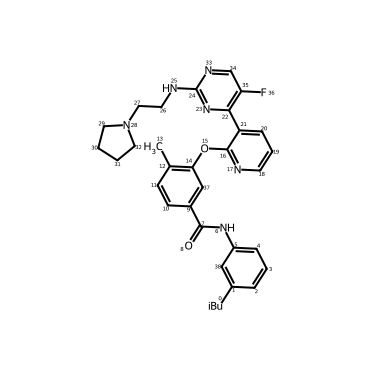 CCC(C)c1cccc(NC(=O)c2ccc(C)c(Oc3ncccc3-c3nc(NCCN4CCCC4)ncc3F)c2)c1